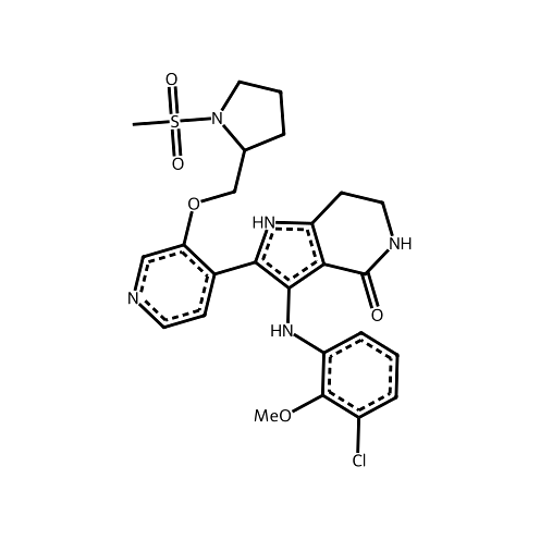 COc1c(Cl)cccc1Nc1c(-c2ccncc2OCC2CCCN2S(C)(=O)=O)[nH]c2c1C(=O)NCC2